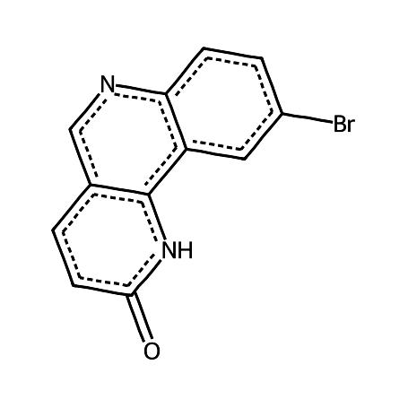 O=c1ccc2cnc3ccc(Br)cc3c2[nH]1